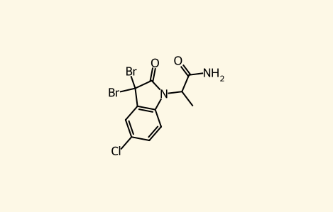 CC(C(N)=O)N1C(=O)C(Br)(Br)c2cc(Cl)ccc21